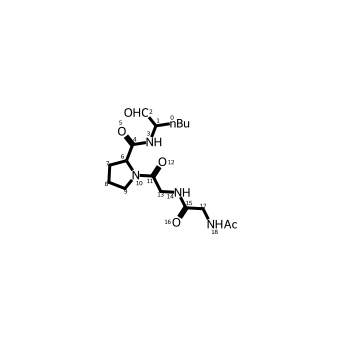 CCCCC(C=O)NC(=O)C1CCCN1C(=O)CNC(=O)CNC(C)=O